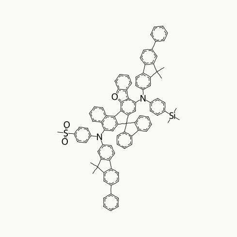 CC1(C)c2cc(-c3ccccc3)ccc2-c2ccc(N(c3ccc(S(C)(=O)=O)cc3)c3cc4c(c5ccccc35)-c3c(cc(N(c5ccc([Si](C)(C)C)cc5)c5ccc6c(c5)C(C)(C)c5cc(-c7ccccc7)ccc5-6)c5c3oc3ccccc35)C43c4ccccc4-c4ccccc43)cc21